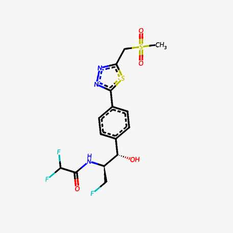 CS(=O)(=O)Cc1nnc(-c2ccc([C@H](O)[C@@H](CF)NC(=O)C(F)F)cc2)s1